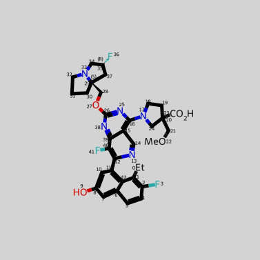 CCc1c(F)ccc2cc(O)cc(-c3ncc4c(N5CCC(COC)(C(=O)O)C5)nc(OC[C@@]56CCCN5C[C@H](F)C6)nc4c3F)c12